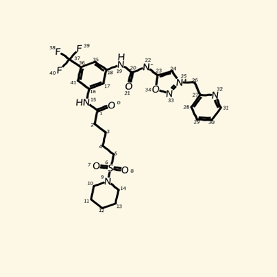 O=C(CCCCS(=O)(=O)N1CCCCC1)Nc1cc(NC(=O)[N-]c2c[n+](Cc3ccccn3)no2)cc(C(F)(F)F)c1